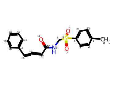 Cc1ccc(S(=O)(=O)CNC(=O)C=C=Cc2ccccc2)cc1